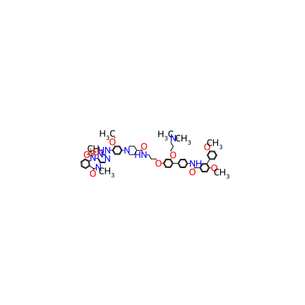 CCOc1cc(N2CCC(C(=O)NCCCOc3ccc(-c4ccc(NC(=O)c5ccc(OC)c(-c6cccc(OC)c6)c5)cc4)c(OCCCN(C)C)c3)CC2)ccc1Nc1ncc2c(n1)N(S(C)(=O)=O)c1ccccc1C(=O)N2C